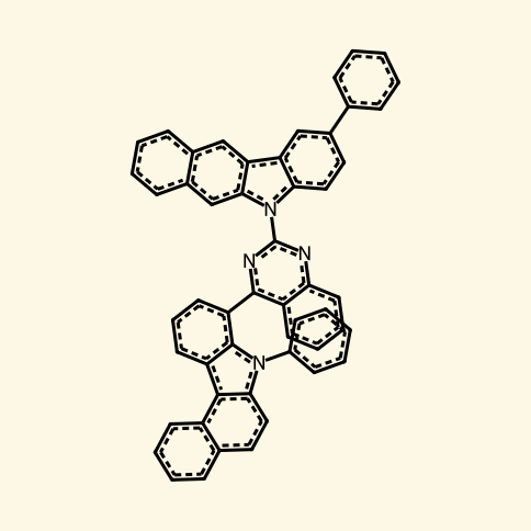 c1ccc(-c2ccc3c(c2)c2cc4ccccc4cc2n3-c2nc(-c3cccc4c5c6ccccc6ccc5n(-c5ccccc5)c34)c3ccccc3n2)cc1